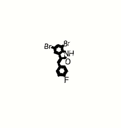 O=C1Nc2c(Br)cc(Br)cc2C1=Cc1ccc(F)cc1